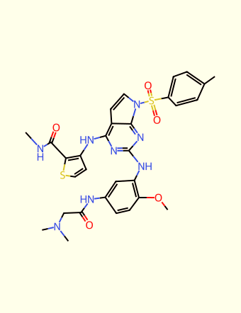 CNC(=O)c1sccc1Nc1nc(Nc2cc(NC(=O)CN(C)C)ccc2OC)nc2c1ccn2S(=O)(=O)c1ccc(C)cc1